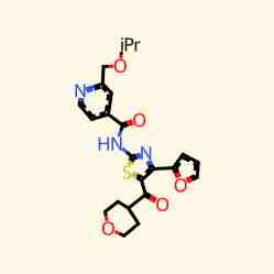 CC(C)OCc1cc(C(=O)Nc2nc(-c3ccco3)c(C(=O)C3CCOCC3)s2)ccn1